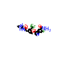 CC(C)(C)n1cc(NC(=O)Cc2ccc(Oc3ccnc4cc(F)c(C(N)=O)cc34)c(C(F)F)c2)cn1